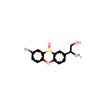 CC(CO)c1ccc2c(c1)[S+]([O-])c1cc(Br)ccc1O2